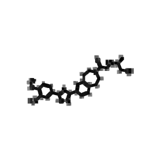 CC(C)Oc1ccc(-c2nc(-c3ccc4c(c3)CCN(C(=O)CN[C@@H](C)CO)CC4)no2)cc1N